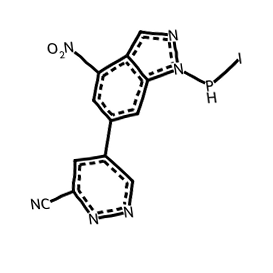 N#Cc1cc(-c2cc([N+](=O)[O-])c3cnn(PI)c3c2)cnn1